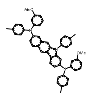 COc1cccc(N(c2ccc(C)cc2)c2ccc3cc4c5ccc(N(c6ccc(C)cc6)c6cccc(OC)c6)cc5n(-c5ccc(C)cc5)c4cc3c2)c1